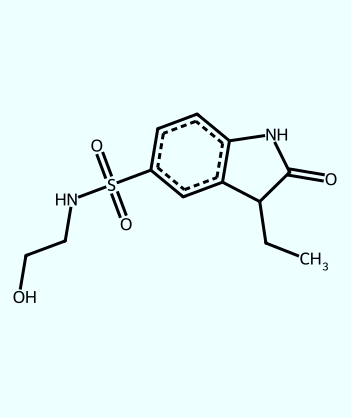 CCC1C(=O)Nc2ccc(S(=O)(=O)NCCO)cc21